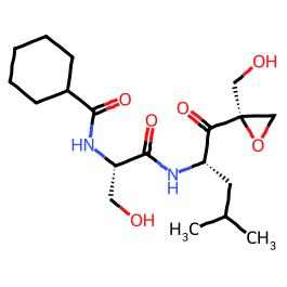 CC(C)C[C@H](NC(=O)[C@H](CO)NC(=O)C1CCCCC1)C(=O)[C@@]1(CO)CO1